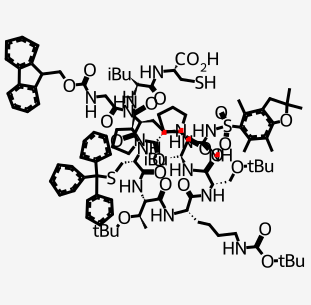 CC[C@H](C)[C@H](NC(=O)[C@@H]1CCCN1C(=O)[C@@H]1CCCN1C(=O)[C@@H](NC(=O)[C@H](COC(C)(C)C)NC(=O)[C@H](CCCCNC(=O)OC(C)(C)C)NC(=O)[C@@H](NC(=O)[C@H](CSC(c1ccccc1)(c1ccccc1)c1ccccc1)NC(=O)[C@H](CCCNC(=N)NS(=O)(=O)c1c(C)c(C)c2c(c1C)CC(C)(C)O2)NC(=O)CNC(=O)OCC1c2ccccc2-c2ccccc21)[C@@H](C)OC(C)(C)C)[C@@H](C)CC)C(=O)N[C@@H](CS)C(=O)O